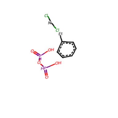 CCc1ccccc1.O=[PH](O)O[PH](=O)O.[Cl][Ni][Cl]